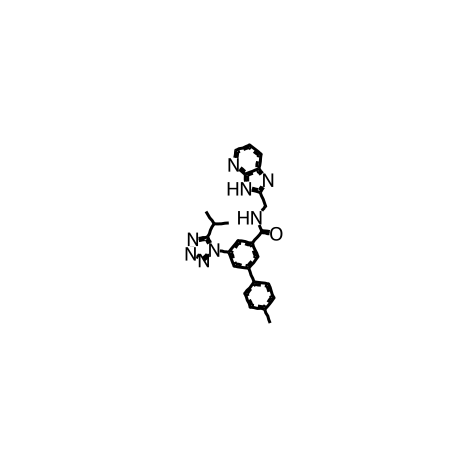 Cc1ccc(-c2cc(C(=O)NCc3nc4cccnc4[nH]3)cc(-n3nnnc3C(C)C)c2)cc1